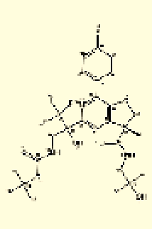 CC(C)(O)CNC(=O)[C@@]1(C)COc2c1cc(C(O)(CNC(=O)OC(C)(C)C)C(F)(F)F)nc2-c1ccc(F)cc1